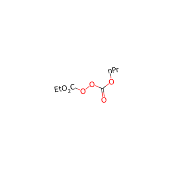 CCCOC(=O)OOC(=O)OCC